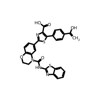 C=C(O)c1ccc(-c2sc(-c3ccc4c(c3)N(C(=O)Nc3nc5ccccc5s3)CCO4)nc2C(=O)O)cc1